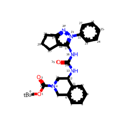 CC(C)(C)OC(=O)N1Cc2ccccc2C(NC(=O)Nc2c3c(nn2-c2ccccc2)CCC3)C1